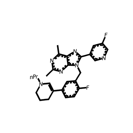 CCCN1C=C(c2ccc(F)c(Cn3c(-c4cncc(F)c4)nc4c(C)nc(C)nc43)c2)CCC1